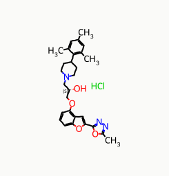 Cc1cc(C)c(C2CCN(C[C@H](O)COc3cccc4oc(-c5nnc(C)o5)cc34)CC2)c(C)c1.Cl